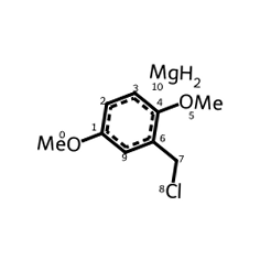 COc1ccc(OC)c(CCl)c1.[MgH2]